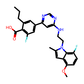 CCCc1cc(-c2cc(NCCn3c(C)cc4c(OC)ccc(F)c43)ncn2)cc(F)c1C(=O)O